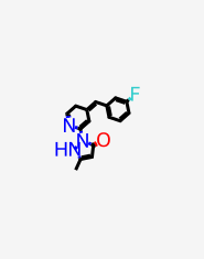 Cc1cc(=O)n(C2=CC(=Cc3cccc(F)c3)CC=N2)[nH]1